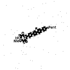 C=C(CO)C(=O)OCC(COC(=O)C(=C)COC)C1CCC(c2ccc(-c3ccc(C4CCC(CCCCC)CC4)cc3F)cc2)CC1